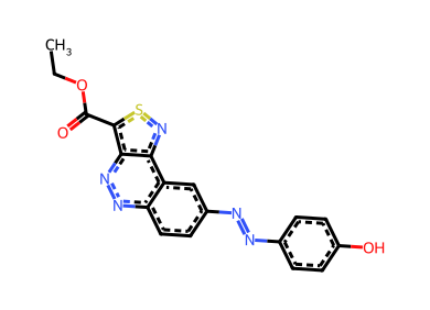 CCOC(=O)c1snc2c1nnc1ccc(/N=N/c3ccc(O)cc3)cc12